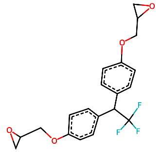 FC(F)(F)C(c1ccc(OCC2CO2)cc1)c1ccc(OCC2CO2)cc1